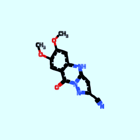 COc1cc2[nH]c3cc(C#N)nn3c(=O)c2cc1OC